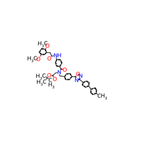 COc1ccc(OC)c(CC(=O)Nc2ccc(C(=O)N(CC(=O)OC(C)(C)C)Cc3ccc(-c4nc(-c5ccc(-c6ccc(C)cc6)cc5)no4)cc3)cc2)c1